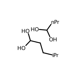 CC(C)CCC(O)O.CCCC(O)O